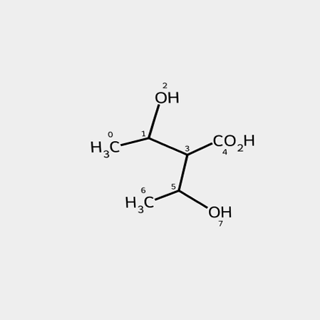 CC(O)C(C(=O)O)C(C)O